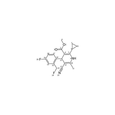 COC(=O)C1=C(C2CC2)NC(C)=C(C#N)C1c1ccc(F)cc1CF